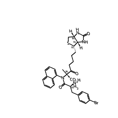 C[C@](C(=O)O)(C(=O)CCCC[C@@H]1SC[C@@H]2NC(=O)N[C@@H]21)N(C(=O)[C@@H](N)Cc1ccc(Br)cc1)c1cccc2ccccc12